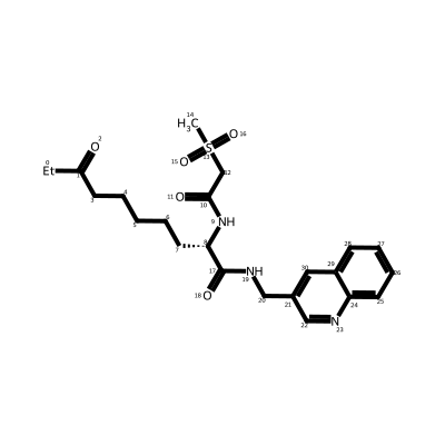 CCC(=O)CCCCC[C@H](NC(=O)CS(C)(=O)=O)C(=O)NCc1cnc2ccccc2c1